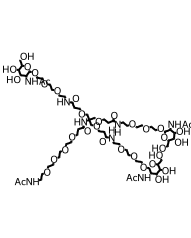 CC(=O)NCCOCCOCCOCCOCCC(=O)NC(COCCC(=O)NCCOCCOCCOC1OC(CO)C(O)C(O)C1NC(C)=O)(COCCC(=O)NCCOCCOCCOC1OC(CO)C(O)C(O)C1NC(C)=O)COCCC(=O)NCCOCCOCCOC1OC(CO)C(O)C(O)C1NC(C)=O